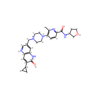 Cc1nc(C(=O)NC2CCOC2)ccc1N1CCN(Cc2cnc3cc(C4CC4)c(=O)[nH]c3c2)CC1